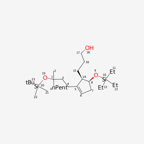 CCCCCC(C)(CCC1=CC[C@H](O[Si](CC)(CC)CC)[C@@H]1CCCO)O[Si](C)(C)C(C)(C)C